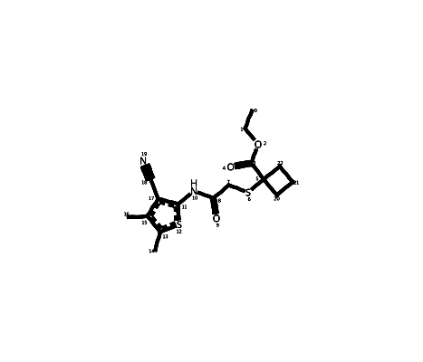 CCOC(=O)C1(SCC(=O)Nc2sc(C)c(C)c2C#N)CCC1